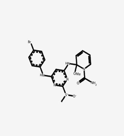 COC1(Nc2cc(Nc3ccc(Br)cc3)nc([S+](C)[O-])n2)C=CC=CN1C(N)=O